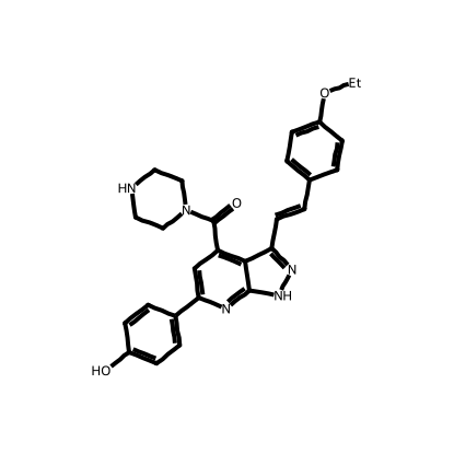 CCOc1ccc(/C=C/c2n[nH]c3nc(-c4ccc(O)cc4)cc(C(=O)N4CCNCC4)c23)cc1